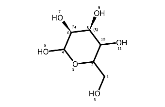 OCC1OC(O)[C@@H](O)[C@@H](O)C1O